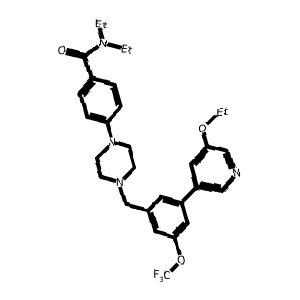 CCOc1cncc(-c2cc(CN3CCN(c4ccc(C(=O)N(CC)CC)cc4)CC3)cc(OC(F)(F)F)c2)c1